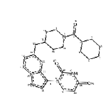 O=C(C1CCCCC1)N1CCC(Cc2ccn3ncc(-n4ccc(=O)[nH]c4=O)c3c2)CC1